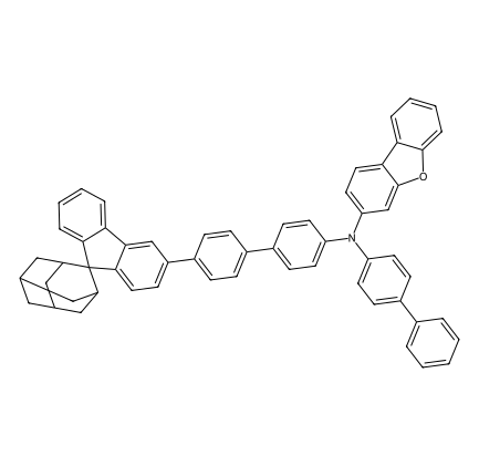 c1ccc(-c2ccc(N(c3ccc(-c4ccc(-c5ccc6c(c5)-c5ccccc5C65C6CC7CC(C6)CC5C7)cc4)cc3)c3ccc4c(c3)oc3ccccc34)cc2)cc1